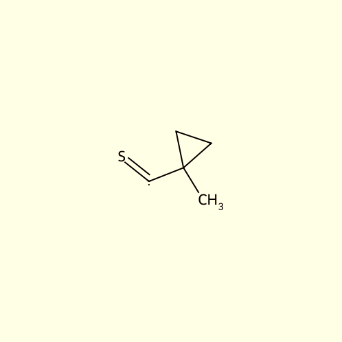 CC1([C]=S)CC1